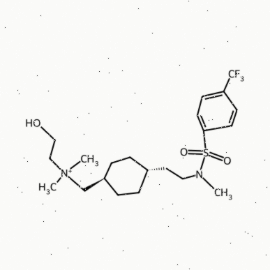 CN(CC[C@H]1CC[C@H](C[N+](C)(C)CCO)CC1)S(=O)(=O)c1ccc(C(F)(F)F)cc1